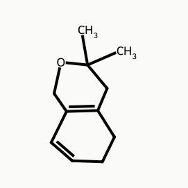 CC1(C)CC2=C(C=CCC2)CO1